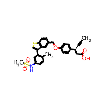 CC#C[C@@H](CC(=O)O)c1ccc(OCc2ccc3scc(-c4cc(NS(C)(=O)=O)ccc4C)c3c2)cc1